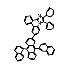 C1=CCC(c2nc3c4ccccc4c4cc(-c5ccc6c(-c7cccc8ccccc78)c7ccccc7c(-c7ccc8ccccc8c7)c6c5)ccc4n3c2C2=CCCC=C2)C=C1